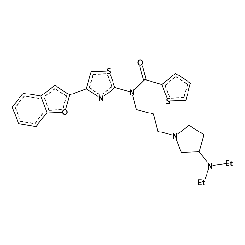 CCN(CC)C1CCN(CCCN(C(=O)c2cccs2)c2nc(-c3cc4ccccc4o3)cs2)C1